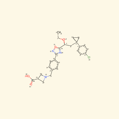 CCOC(CC1(c2ccc(Cl)cc2)CC1)c1nc(-c2ccc(CN3CC(C(=O)O)C3)cc2)no1